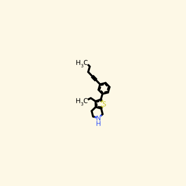 CCCC#Cc1cccc(-c2sc3c(c2CC)CCNC3)c1